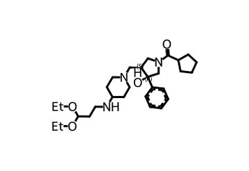 CCOC(CCNC1CCN(C[C@H]2CN(C(=O)C3CCCC3)C[C@]2(O)c2ccccc2)CC1)OCC